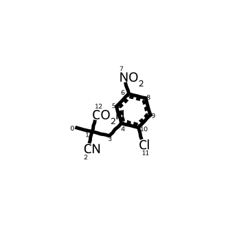 CC(C#N)(Cc1cc([N+](=O)[O-])ccc1Cl)C(=O)O